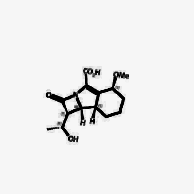 CO[C@H]1CCC[C@H]2C1=C(C(=O)O)N1C(=O)[C@H]([C@@H](C)O)[C@@H]21